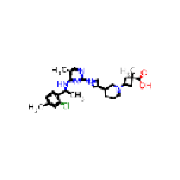 Cc1ccc(C(C)Nc2nc(N3CC(C4CCCN(C5CC(C)(C(=O)O)C5)C4)C3)ncc2C)c(Cl)c1